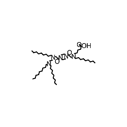 CCCCCCCCCN(CCCCCCCCC)CCN(CCCCCCCCC)CC(=O)N1CCN(C(=O)CN(CCCCCCCCC)CCCCC(=O)O)CC1